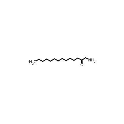 [CH2]CCCCCCCCCCCC(=O)CN